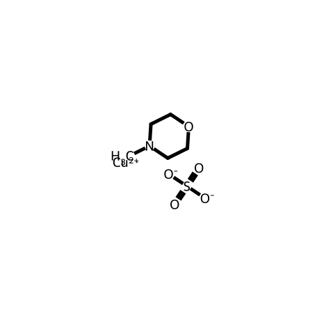 CN1CCOCC1.O=S(=O)([O-])[O-].[Cu+2]